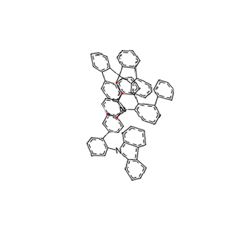 c1ccc(-c2ccccc2-c2c(-c3ccccc3)cccc2N(c2ccc(-c3ccccc3-n3c4ccccc4c4ccccc43)cc2)c2ccc3c(c2)C2(c4ccccc4-c4ccccc42)c2ccccc2-3)cc1